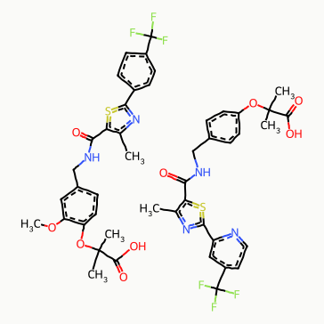 COc1cc(CNC(=O)c2sc(-c3ccc(C(F)(F)F)cc3)nc2C)ccc1OC(C)(C)C(=O)O.Cc1nc(-c2cc(C(F)(F)F)ccn2)sc1C(=O)NCc1ccc(OC(C)(C)C(=O)O)cc1